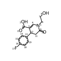 O=C(O)C1=CN(CCO)C(=O)CC1c1ccc(F)cc1